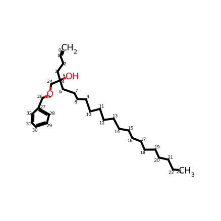 C=CCCC(O)(CCCCCCCCCCCCCCCCCC)COCc1ccccc1